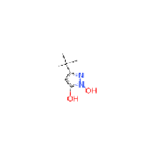 CC(C)(C)c1cc(O)n(O)n1